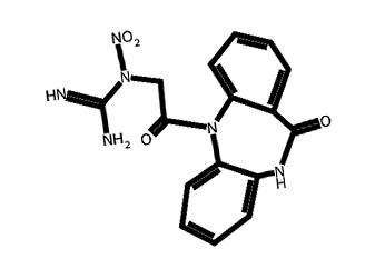 N=C(N)N(CC(=O)N1c2ccccc2NC(=O)c2ccccc21)[N+](=O)[O-]